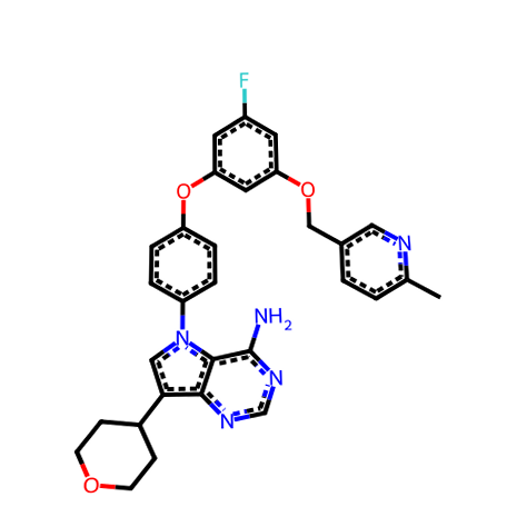 Cc1ccc(COc2cc(F)cc(Oc3ccc(-n4cc(C5CCOCC5)c5ncnc(N)c54)cc3)c2)cn1